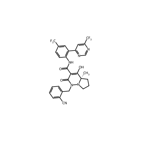 C[C@]12CCCN1N(Cc1ccccc1C#N)C(=O)C(C(=O)Nc1ccc(C(F)(F)F)cc1-c1cc(C(F)(F)F)ncn1)=C2O